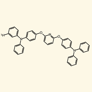 [3H]c1cccc(N(c2ccccc2)c2ccc(Oc3cccc(Oc4ccc(N(c5ccccc5)c5ccccc5)cc4)n3)cc2)c1